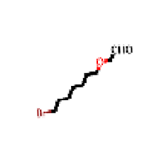 O=CCOCCCCCCCBr